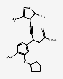 COC(=O)C[C@H](C#CN1C(C)=COC1C)c1ccc(OC)c(OC2CCCC2)c1